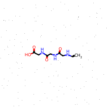 C=CNCC(=O)NCC(=O)NCC(=O)O